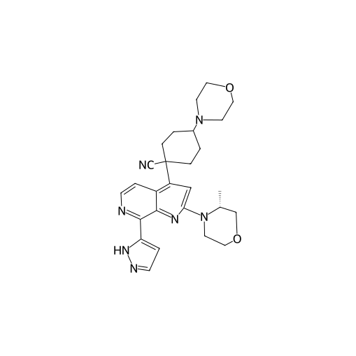 C[C@@H]1COCCN1c1cc(C2(C#N)CCC(N3CCOCC3)CC2)c2ccnc(-c3ccn[nH]3)c2n1